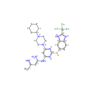 CC(=N)/C=C(\N)Nc1cc(N2CCN(C3CCCCC3)CC2)nc(Sc2ccc3nc(C(F)(F)F)[nH]c3c2)n1